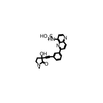 CN1CCC(O)(C#Cc2cccc(-c3ccc4nccc(NC(=O)O)c4n3)c2)C1=O